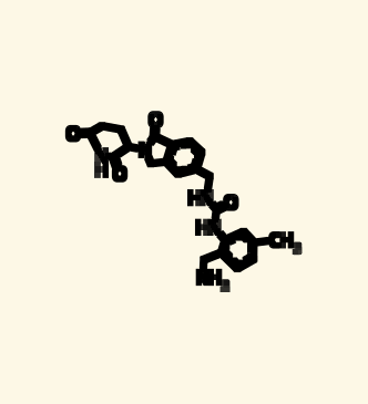 Cc1ccc(CN)c(NC(=O)NCc2ccc3c(c2)CN(C2CCC(=O)NC2=O)C3=O)c1